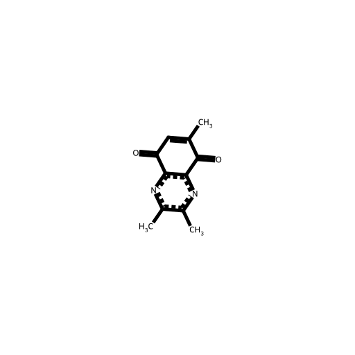 CC1=CC(=O)c2nc(C)c(C)nc2C1=O